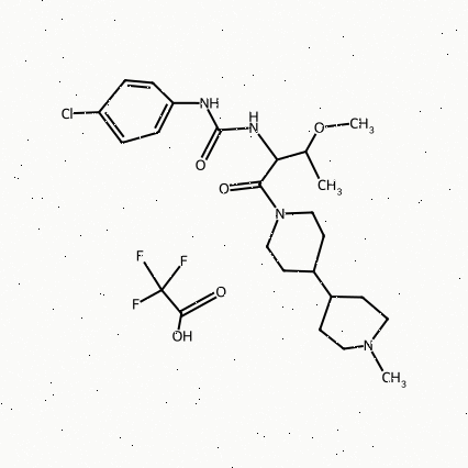 COC(C)C(NC(=O)Nc1ccc(Cl)cc1)C(=O)N1CCC(C2CCN(C)CC2)CC1.O=C(O)C(F)(F)F